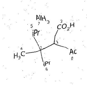 CC(=O)C(C(=O)O)C(C)(C(C)C)C(C)C.[AlH3]